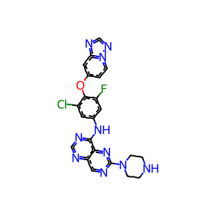 Fc1cc(Nc2ncnc3cnc(N4CCNCC4)nc23)cc(Cl)c1Oc1ccn2ncnc2c1